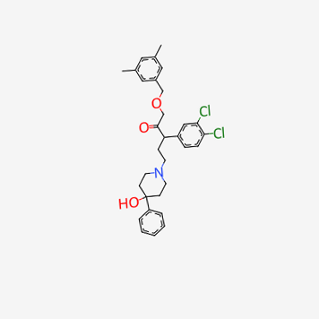 Cc1cc(C)cc(COCC(=O)C(CCN2CCC(O)(c3ccccc3)CC2)c2ccc(Cl)c(Cl)c2)c1